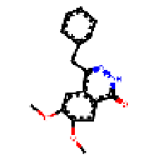 COc1cc2c(Cc3cc[c]cc3)n[nH]c(=O)c2cc1OC